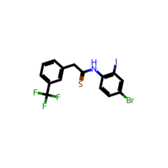 FC(F)(F)c1cccc(CC(=S)Nc2ccc(Br)cc2I)c1